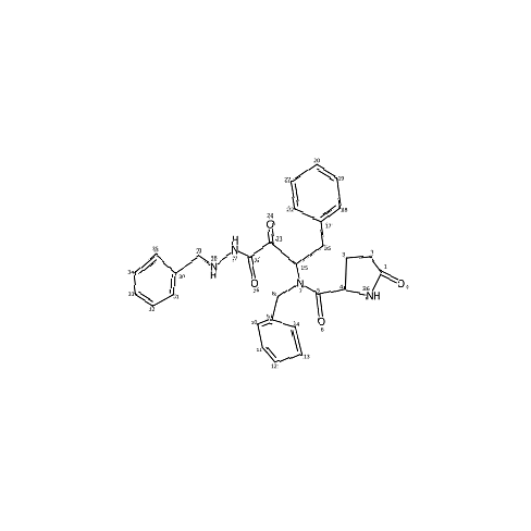 O=C1CCC(C(=O)N(Cc2ccccc2)C(Cc2ccccc2)C(=O)C(=O)NNCc2ccccc2)N1